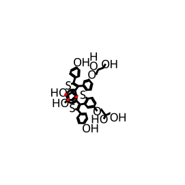 OCC(O)COc1ccc(Sc2ccc(OCC(O)CO)cc2-c2c(-c3ccc(O)cc3)sc3cc(O)ccc23)c(-c2c(-c3ccc(O)cc3)sc3cc(O)ccc23)c1